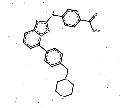 CNC(=O)c1ccc(Nc2nc3cccc(-c4ccc(CN5CCOCC5)cc4)n3n2)cn1